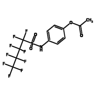 CC(=O)Oc1ccc(NS(=O)(=O)C(F)(F)C(F)(F)C(F)(F)C(F)(F)F)cc1